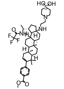 COC(=O)c1ccc(C2=CC[C@]3(C)[C@H]4CC[C@@H]5[C@H]6[C@H](C(C)NC(=O)C(F)(F)F)CC[C@]6(NCCN6CCS(O)(O)CC6)CC[C@@]5(C)[C@]4(C)CC[C@H]3C2(C)C)cc1